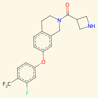 O=C(C1CNC1)N1CCc2ccc(Oc3ccc(C(F)(F)F)c(F)c3)cc2C1